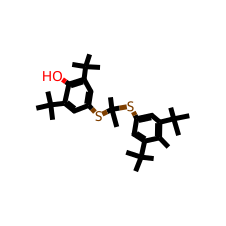 Cc1c(C(C)(C)C)cc(SC(C)(C)Sc2cc(C(C)(C)C)c(O)c(C(C)(C)C)c2)cc1C(C)(C)C